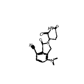 CN(C)c1ccc(C#N)c2c1CN(C1CCC(=O)NC1=O)C2=O